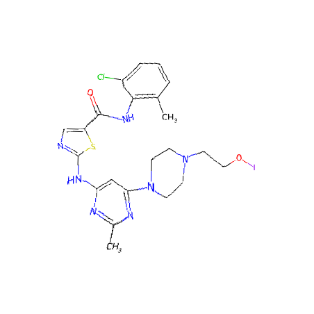 Cc1nc(Nc2ncc(C(=O)Nc3c(C)cccc3Cl)s2)cc(N2CCN(CCOI)CC2)n1